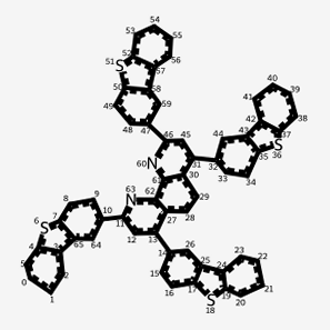 c1ccc2c(c1)sc1ccc(-c3cc(-c4ccc5sc6ccccc6c5c4)c4ccc5c(-c6ccc7sc8ccccc8c7c6)cc(-c6ccc7sc8ccccc8c7c6)nc5c4n3)cc12